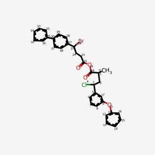 CC(CC(Cl)c1cccc(Oc2ccccc2)c1)C(=O)OC(=O)CCC(Br)c1ccc(-c2ccccc2)cc1